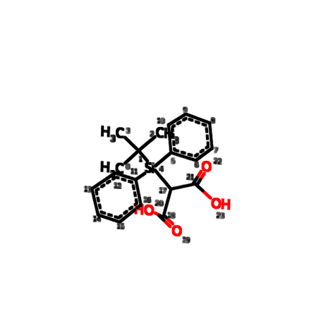 CC(C)(C)[Si](c1ccccc1)(c1ccccc1)C(C(=O)O)C(=O)O